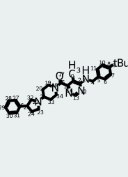 Cc1c(NCc2ccc(C(C)(C)C)cc2)ncnc1C(=O)N1CCC(N2CCC(c3ccccc3)C2)CC1